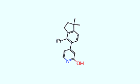 CC(C)c1c(-c2ccnc(O)c2)ccc2c1CCC2(C)C